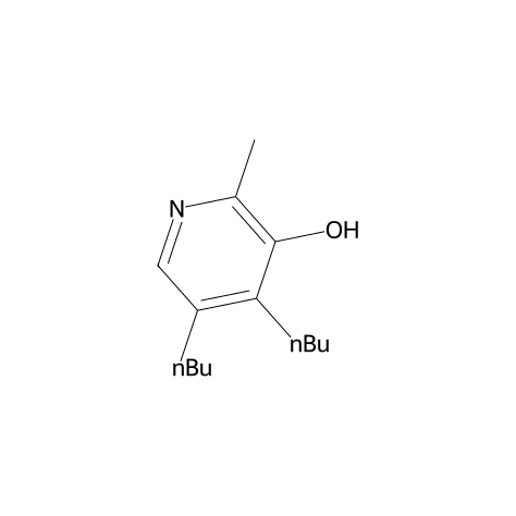 CCCCc1cnc(C)c(O)c1CCCC